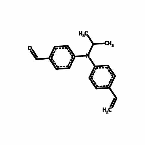 C=Cc1ccc(N(c2ccc(C=O)cc2)C(C)C)cc1